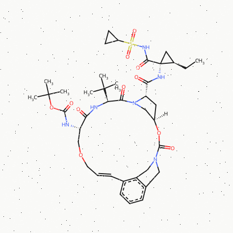 CC[C@@H]1C[C@]1(NC(=O)[C@@H]1C[C@@H]2CN1C(=O)[C@H](C(C)(C)C)NC(=O)[C@@H](NC(=O)OC(C)(C)C)COC/C=C/c1cccc3c1CN(C3)C(=O)O2)C(=O)NS(=O)(=O)C1CC1